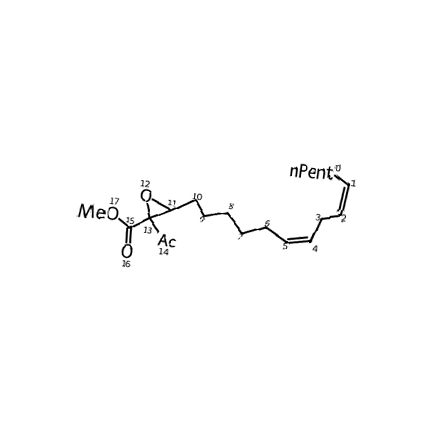 CCCCC/C=C\C/C=C\CCCCCC1OC1(C(C)=O)C(=O)OC